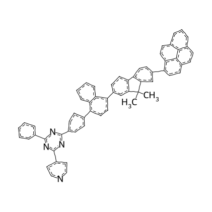 CC1(C)c2cc(-c3ccc(-c4ccc(-c5nc(-c6ccccc6)nc(-c6ccncc6)n5)cc4)c4ccccc34)ccc2-c2ccc(-c3ccc4ccc5cccc6ccc3c4c56)cc21